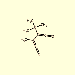 CC(=C=O)C(=C=O)[Si](C)(C)C